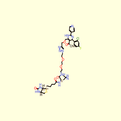 COC(=O)C1=C(COCc2cn(CCOCCOCCNC(=O)[C@H](CC3(C)N=N3)NC(=O)CCCC[C@@H]3SC[C@@H]4NC(=O)N[C@@H]43)nn2)NC(c2ccncc2)=NC1c1ccc(F)cc1Cl